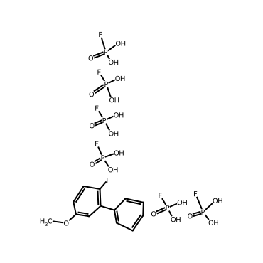 COc1ccc(I)c(-c2ccccc2)c1.O=P(O)(O)F.O=P(O)(O)F.O=P(O)(O)F.O=P(O)(O)F.O=P(O)(O)F.O=P(O)(O)F